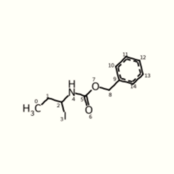 CCC(I)NC(=O)OCc1ccccc1